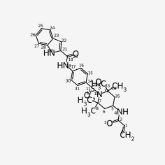 C=CC(=O)NC1CC(C)(C)N(S(=O)(=O)c2ccc(NC(=O)c3cc4ccccc4[nH]3)cc2)C(C)(C)C1